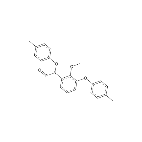 COc1c(Oc2ccc(C)cc2)cccc1N(Oc1ccc(C)cc1)P=O